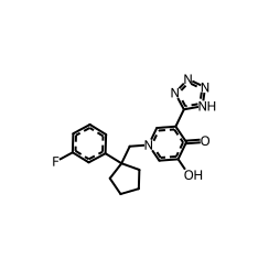 O=c1c(O)cn(CC2(c3cccc(F)c3)CCCC2)cc1-c1nnn[nH]1